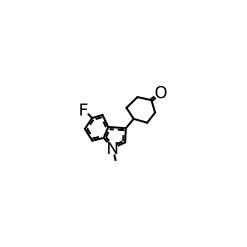 Cn1cc(C2CCC(=O)CC2)c2cc(F)ccc21